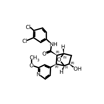 COc1cc([C@@H]2[C@@H]3O[C@@H](C[C@H]3O)[C@@H]2C(=O)Nc2ccc(Cl)c(Cl)c2)ccn1